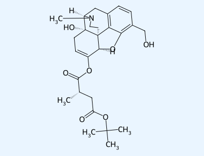 C[C@@H](CC(=O)OC(C)(C)C)C(=O)OC1=CC[C@@]2(O)[C@H]3Cc4ccc(CO)c5c4[C@@]2(CCN3C)[C@H]1O5